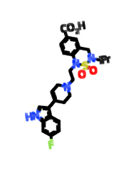 CC(C)N1Cc2cc(C(=O)O)ccc2N(CCN2CC=C(c3c[nH]c4cc(F)ccc34)CC2)S1(=O)=O